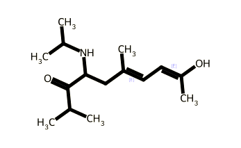 C/C(O)=C\C=C(/C)CC(NC(C)C)C(=O)C(C)C